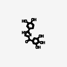 O=C(c1cc(O)c(O)c(O)c1)c1c[nH]c(-c2ccc(O)c(O)c2)n1